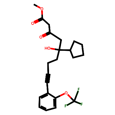 COC(=O)CC(=O)CC(O)(CCC#Cc1ccccc1OC(F)(F)F)C1CCCC1